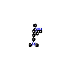 N=C(/C(=C1\NC(c2ccccc2)=Cc2ccc(-c3ccc(-c4ccc(-c5nc(-c6ccccc6)nc(-c6ccccc6)n5)cc4)cc3)cc21)c1ccccc1)c1ccccc1